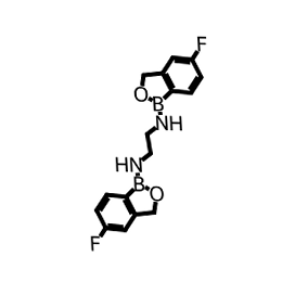 Fc1ccc2c(c1)COB2NCCNB1OCc2cc(F)ccc21